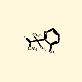 COC(=O)C(C)(C(=O)O)c1ncccc1[N+](=O)[O-]